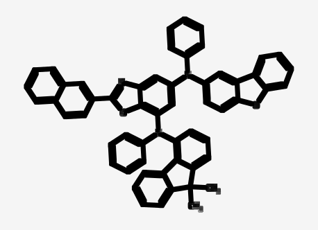 CC1(C)c2ccccc2-c2c(N(c3ccccc3)c3cc(N(c4ccccc4)c4ccc5oc6ccccc6c5c4)cc4nc(-c5ccc6ccccc6c5)oc34)cccc21